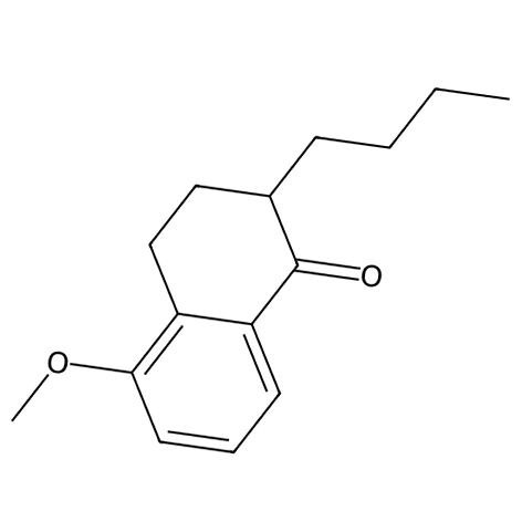 CCCCC1CCc2c(OC)cccc2C1=O